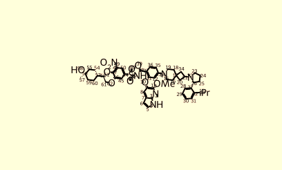 COc1nc2[nH]ccc2cc1Oc1cc(N2CCC3(CC2)CC(N2CCC[C@@H]2c2ccccc2C(C)C)C3)ccc1C(=O)NS(=O)(=O)c1cc2c(c([N+](=O)[O-])c1)O[C@H]([C@H]1CC[C@](C)(O)CC1)CO2